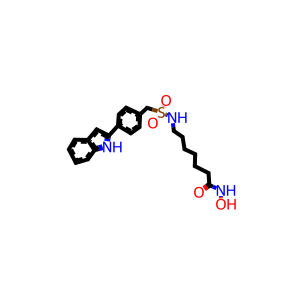 O=C(CCCCCCNS(=O)(=O)Cc1ccc(-c2cc3ccccc3[nH]2)cc1)NO